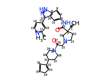 C#CC1(C(=O)Nc2ccc3[nH]nc(-c4ccnc(C)c4)c3c2)CCN(CC(=O)N2CCC(C3=CCC=C3)CC2)C1